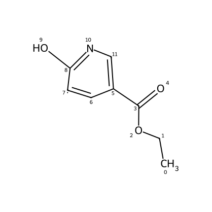 CCOC(=O)c1c[c]c(O)nc1